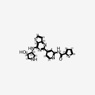 O=C(Nc1cc(-c2nc(N[C@H]3CNC[C@@H]3O)c3sccc3n2)ccn1)c1cccs1